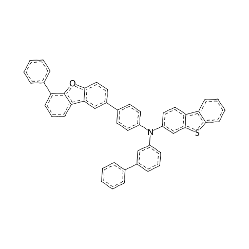 c1ccc(-c2cccc(N(c3ccc(-c4ccc5oc6c(-c7ccccc7)cccc6c5c4)cc3)c3ccc4c(c3)sc3ccccc34)c2)cc1